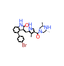 Cc1c(C(=O)N2C[C@@H](C)N[C@H](C)C2)c[nH]c1C=C1C(=O)Nc2cccc(-c3ccc(Br)cc3)c21